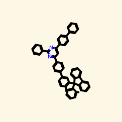 Cc1ccccc1C1(c2cc(-c3ccc(-c4cc(-c5ccc(-c6ccccc6)cc5)nc(-c5ccccc5)n4)cc3)ccc2C)c2ccccc2-c2ccccc21